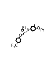 CCOC(COc1ccc(C(F)(F)F)cc1)CSc1ccc(OC(C)C)c(C)c1